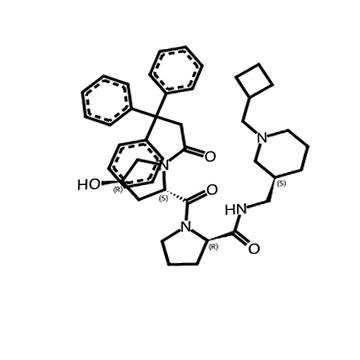 O=C(NC[C@@H]1CCCN(CC2CCC2)C1)[C@H]1CCCN1C(=O)[C@@H]1C[C@@H](O)CN1C(=O)CC(c1ccccc1)(c1ccccc1)c1ccccc1